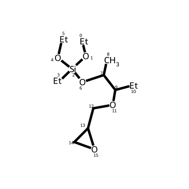 CCO[Si](CC)(OCC)OC(C)C(CC)OCC1CO1